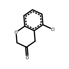 O=C1COc2cccc(Cl)c2C1